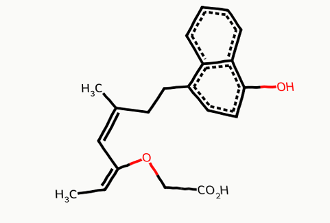 C/C=C(\C=C(\C)CCc1ccc(O)c2ccccc12)OCC(=O)O